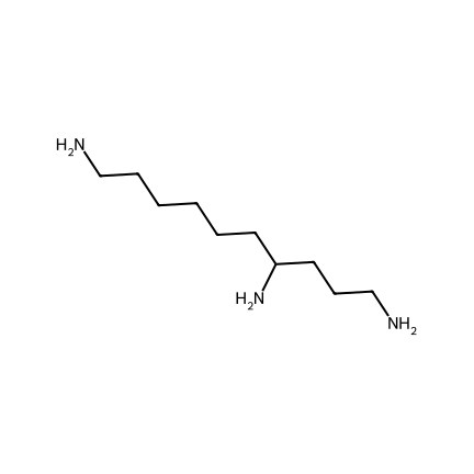 NCCCCCCC(N)CCCN